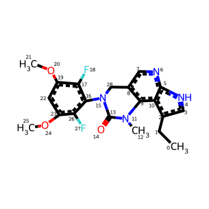 CCc1c[nH]c2ncc3c(c12)N(C)C(=O)N(c1c(F)c(OC)cc(OC)c1F)C3